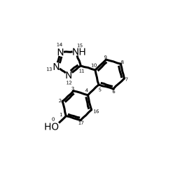 Oc1ccc(-c2ccccc2-c2nnn[nH]2)cc1